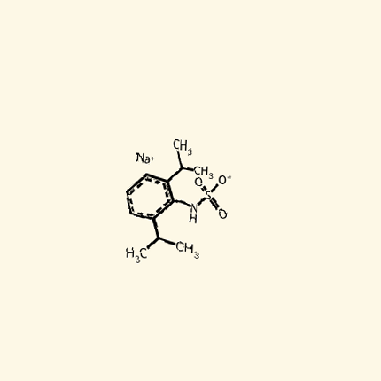 CC(C)c1cccc(C(C)C)c1NS(=O)(=O)[O-].[Na+]